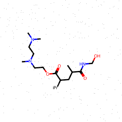 CC(CC(C(=O)OCCN(C)CCN(C)C)C(C)C)C(=O)NCO